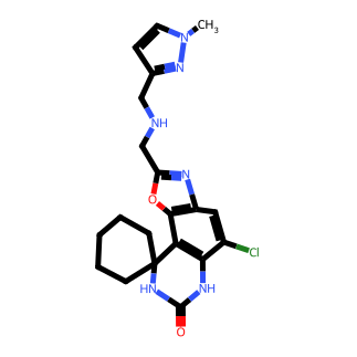 Cn1ccc(CNCc2nc3cc(Cl)c4c(c3o2)C2(CCCCC2)NC(=O)N4)n1